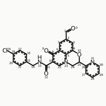 O=Cc1cc2c3c(c1)c(=O)c(C(=O)NCc1ccc(Cl)cc1)cn3CC(c1ccccn1)O2